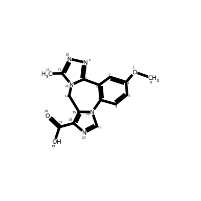 COc1ccc2c(c1)-c1nnc(C)n1Cc1c(C(=O)O)ncn1-2